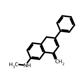 C=C1C=C(c2ccccc2)Cc2ccc(NC)cc21